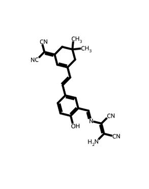 CC1(C)CC(/C=C/c2ccc(O)c(/C=N/C(C#N)=C(\N)C#N)c2)=CC(=C(C#N)C#N)C1